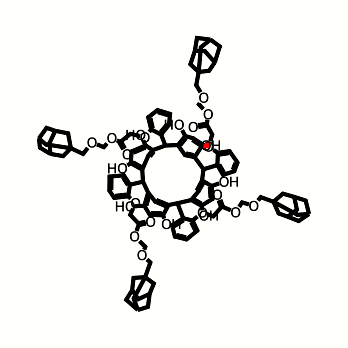 O=C(COc1ccccc1C1c2cc(c(O)cc2O)C(c2ccccc2OCC(=O)OCOCC23CC4CC(CC(C4)C2)C3)c2cc(c(O)cc2O)C(c2ccccc2OCC(=O)OCOCC23CC4CC(CC(C4)C2)C3)c2cc(c(O)cc2O)C(c2ccccc2OCC(=O)OCOCC23CC4CC(CC(C4)C2)C3)c2cc1c(O)cc2O)OCOCC12CC3CC(CC(C3)C1)C2